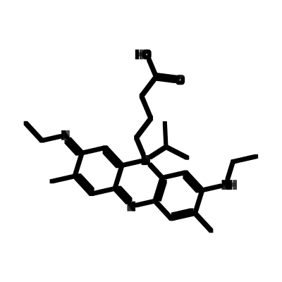 CC/N=C1/C=C2C(=Nc3cc(C)c(NCC)cc3[Si]2(CCCC(=O)O)C(C)C)C=C1C